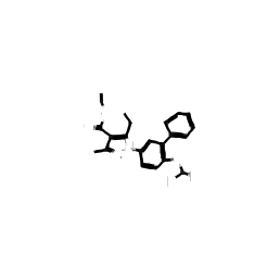 CCOC(=O)c1c(C)nn(-c2ccc(OC(F)F)c(-c3ccccc3)c2)c1CC